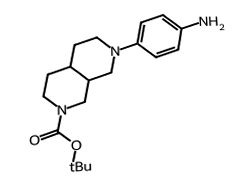 CC(C)(C)OC(=O)N1CCC2CCN(c3ccc(N)cc3)CC2C1